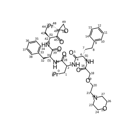 CC(C)CC(NC(=O)[C@H](CCc1ccccc1)NC(=O)COCCN1CCOCC1)C(=O)N[C@@H](Cc1ccccc1)C(=O)N[C@@H](CC(C)C)C(=O)[C@@]1(C)CO1